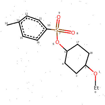 CCOC1CCC(OS(=O)(=O)c2ccc(C)cc2)CC1